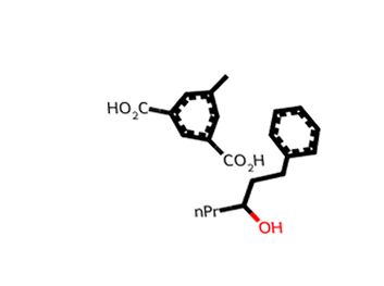 CCCC(O)CCc1ccccc1.Cc1cc(C(=O)O)cc(C(=O)O)c1